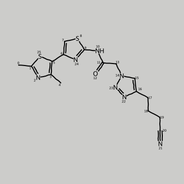 Cc1nc(C)c(-c2csc(NC(=O)Cn3cc(CCCC#N)nn3)n2)s1